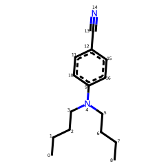 CCCCN(CCCC)c1ccc(C#N)cc1